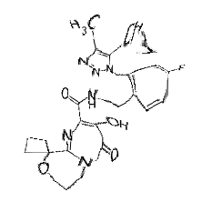 Cc1nnn(-c2cc(F)ccc2CNC(=O)c2nc3n(c(=O)c2O)CCCOC32CCC2)c1C